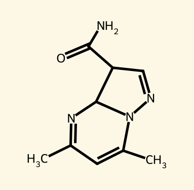 CC1=CC(C)=NC2C(C(N)=O)C=NN12